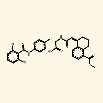 COC(=O)c1cccc2c1CCC/C2=C/C(=O)N[C@@H](Cc1ccc(NC(=O)c2c(Cl)cccc2Cl)cc1)C(=O)O